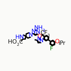 Cc1ccn(-c2cc(-c3cc(F)cc(OC(C)C)c3)ccc2[C@@H](Oc2cc(N3CCC4(CC3)CNC(C(=O)O)C4)nc(N)n2)C(F)(F)F)n1